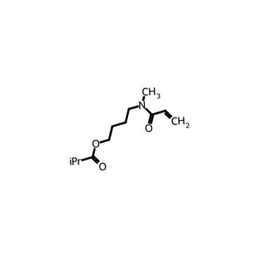 C=CC(=O)N(C)CCCCOC(=O)C(C)C